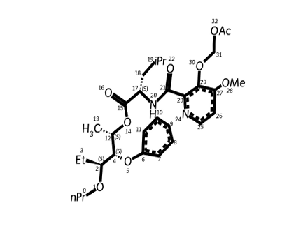 CCCO[C@@H](CC)[C@@H](Oc1ccccc1)[C@H](C)OC(=O)[C@H](CC(C)C)NC(=O)c1nccc(OC)c1OCOC(C)=O